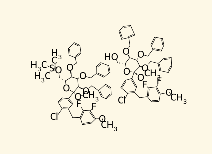 COc1ccc(Cc2cc([C@]3(OC)O[C@H](CO)[C@@H](OCc4ccccc4)[C@H](OCc4ccccc4)[C@H]3OCc3ccccc3)ccc2Cl)c(F)c1F.COc1ccc(Cc2cc([C@]3(OC)O[C@H](CO[Si](C)(C)C)[C@@H](OCc4ccccc4)[C@H](OCc4ccccc4)[C@H]3OCc3ccccc3)ccc2Cl)c(F)c1F